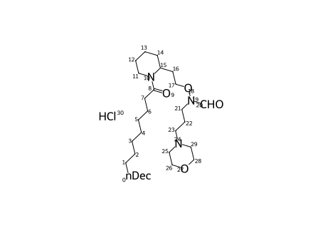 CCCCCCCCCCCCCCCCCC(=O)N1CCCCC1CCON(C=O)CCCN1CCOCC1.Cl